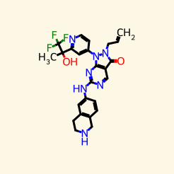 C=CCn1c(=O)c2cnc(Nc3ccc4c(c3)CCNC4)nc2n1-c1ccnc(C(C)(O)C(F)(F)F)c1